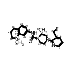 C[C@@H]1CN(c2ncccc2CF)CCN1C(=O)Nc1ccc2c(c1)N(C)CCC2